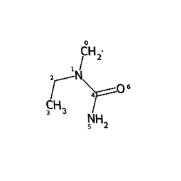 [CH2]N(CC)C(N)=O